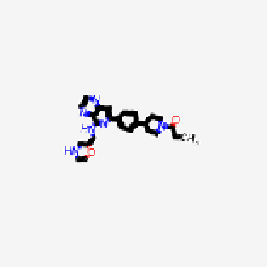 CCC(=O)N1CCC(c2ccc(-c3cc4nccnc4c(NCC4CNCCO4)n3)cc2)CC1